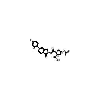 O=C(O)[C@@H]1C[C@@H](OC(F)F)CN1C(=O)CN1Cc2cc(-c3ccc(F)cc3F)ccc2C1=O